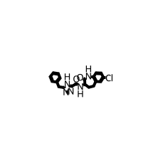 O=C(NC1CCc2cc(Cl)ccc2NC1=O)c1nnc(Cc2ccccc2)[nH]1